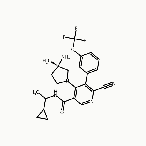 CC(NC(=O)c1cnc(C#N)c(-c2cccc(OC(F)(F)F)c2)c1N1CC[C@](C)(N)C1)C1CC1